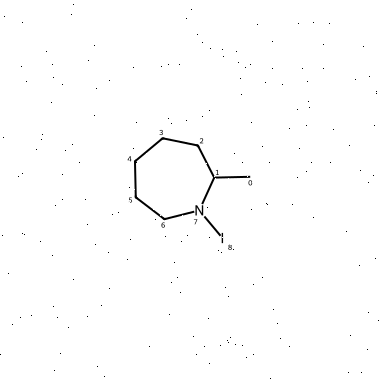 CC1CCCCCN1I